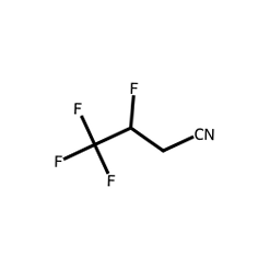 N#CCC(F)C(F)(F)F